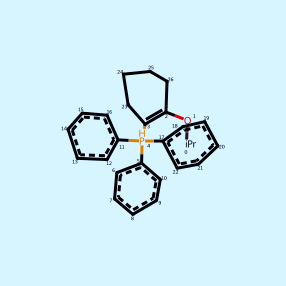 CC(C)OC1=C([PH](c2ccccc2)(c2ccccc2)c2ccccc2)CCCC1